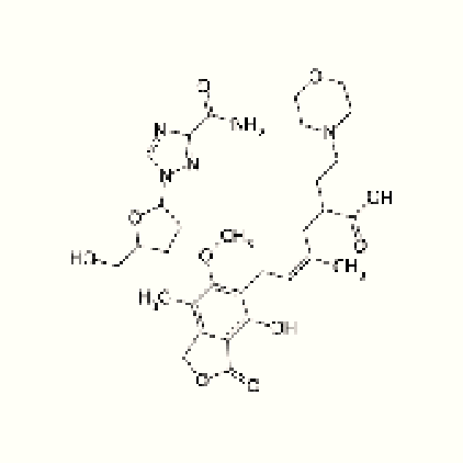 COc1c(C)c2c(c(O)c1CC=C(C)CC(CCN1CCOCC1)C(=O)O)C(=O)OC2.NC(=O)c1ncn(C2CCC(CO)O2)n1